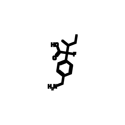 CCC(C)C(F)(C(=O)O)c1ccc(CN)cc1